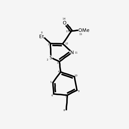 CCc1sc(-c2ccc(C)cc2)nc1C(=O)OC